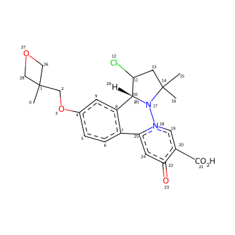 CC1(COc2ccc3c(c2)[C@@H]2C(Cl)CC(C)(C)N2n2cc(C(=O)O)c(=O)cc2-3)COC1